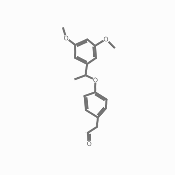 COc1cc(OC)cc(C(C)Oc2ccc(C[C]=O)cc2)c1